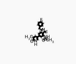 Cc1cc(-c2cc(N[S@@+](C)[O-])c3c(F)nn(Cc4ccc(F)cc4)c3c2)c[nH]c1=O